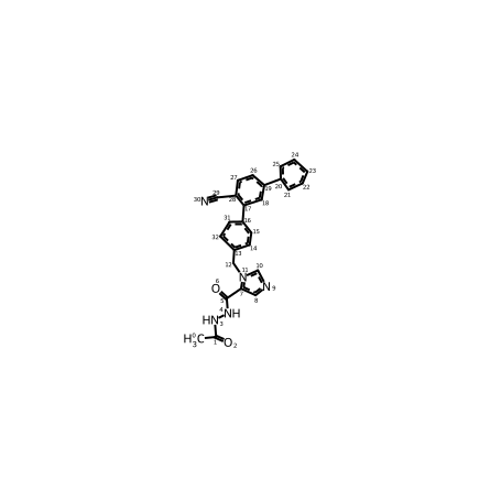 CC(=O)NNC(=O)c1cncn1Cc1ccc(-c2cc(-c3ccccc3)ccc2C#N)cc1